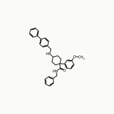 COc1cccc(C2(C(=O)NCc3ccccc3)CCC(NCc3ccc(-c4ccccc4)cc3)CC2)c1